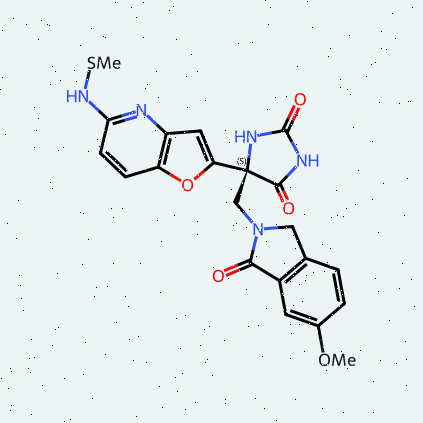 COc1ccc2c(c1)C(=O)N(C[C@@]1(c3cc4nc(NSC)ccc4o3)NC(=O)NC1=O)C2